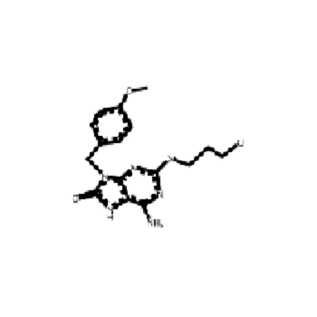 COc1ccc(Cn2c(=O)[nH]c3c(N)nc(SCCCCl)nc32)cc1